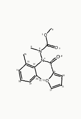 COC(=O)N(C)N(C(=O)c1ccco1)c1c(C)cccc1C